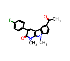 CC(=O)c1ccc2c(c1)c1cc(-c3ccc(F)cc3)c(=O)n(C)c1n2C